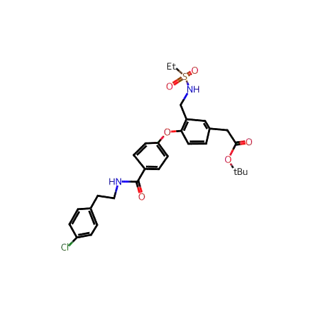 CCS(=O)(=O)NCc1cc(CC(=O)OC(C)(C)C)ccc1Oc1ccc(C(=O)NCCc2ccc(Cl)cc2)cc1